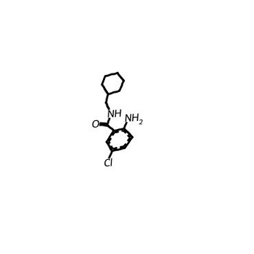 Nc1ccc(Cl)cc1C(=O)NCC1CCCCC1